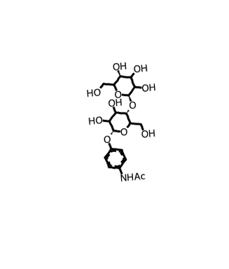 CC(=O)Nc1ccc(O[C@H]2OC(CO)[C@@H](O[C@H]3OC(CO)[C@@H](O)C(O)C3O)C(O)C2O)cc1